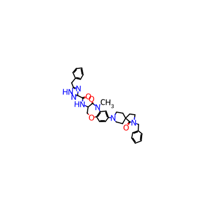 CN1C(=O)C(NC(=O)c2n[nH]c(Cc3ccccc3)n2)COc2ccc(N3CCC4(CCN(Cc5ccccc5)C4=O)CC3)cc21